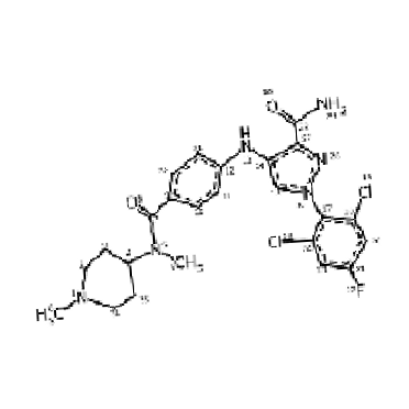 CN1CCC(N(C)C(=O)c2ccc(Nc3cn(-c4c(Cl)cc(F)cc4Cl)nc3C(N)=O)cc2)CC1